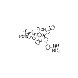 N=C(N)c1cccc(C2CCN(C(=O)c3ccc(-c4ccccn4)cc3)CC2)c1.O=C(O)C(F)(F)F.O=C(O)C(F)(F)F.O=C(O)c1ccc(-c2ccccn2)cc1